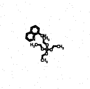 CCO[Si](OCC)(OCC)OCC.Oc1cccc2cccnc12